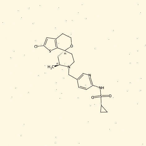 C[C@H]1C[C@@]2(CCN1Cc1ccc(NS(=O)(=O)C3CC3)nc1)OCCc1cc(Cl)sc12